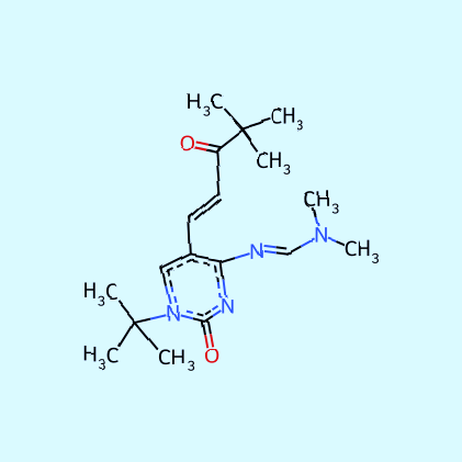 CN(C)/C=N/c1nc(=O)n(C(C)(C)C)cc1/C=C/C(=O)C(C)(C)C